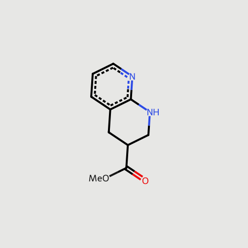 COC(=O)C1CNc2ncccc2C1